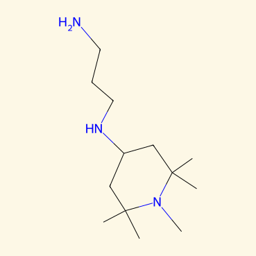 CN1C(C)(C)CC(NCCCN)CC1(C)C